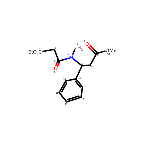 CCOC(=O)CC(=O)N(C)C(CC(=O)OC)c1ccccc1